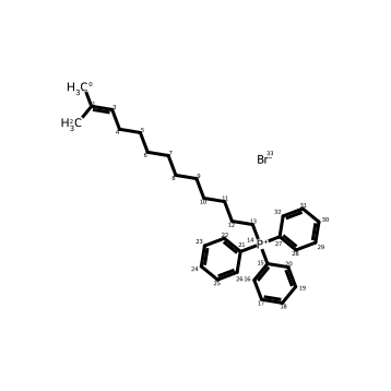 CC(C)=CCCCCCCCCCC[P+](c1ccccc1)(c1ccccc1)c1ccccc1.[Br-]